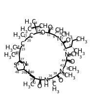 CC[C@H](C)[C@H]1C(=O)N(C)[C@@H](C)C(=O)O[C@H](C(C)(C)C)C[C@@H](C)C[C@H](C)[C@@H](C)C2=N[C@@H](/C=C(\C)C(=O)N[C@@H](C)C(=O)N(C)[C@@H](C)C(=O)N1C)CS2